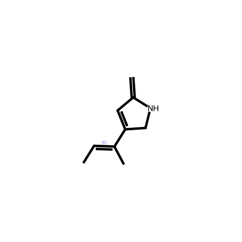 C=C1C=C(/C(C)=C/C)CN1